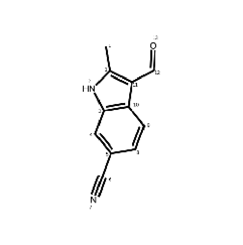 Cc1[nH]c2cc(C#N)ccc2c1C=O